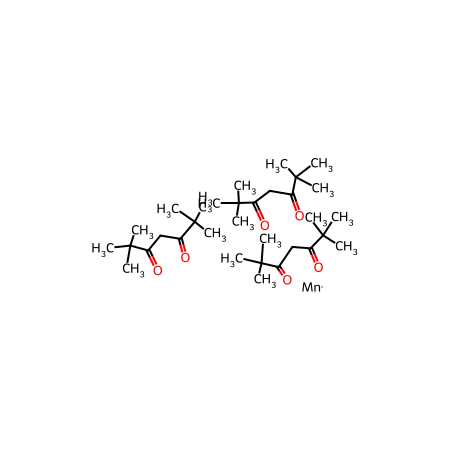 CC(C)(C)C(=O)CC(=O)C(C)(C)C.CC(C)(C)C(=O)CC(=O)C(C)(C)C.CC(C)(C)C(=O)CC(=O)C(C)(C)C.[Mn]